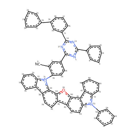 N#Cc1cc(-c2nc(-c3ccccc3)nc(-c3cccc(-c4ccccc4)c3)n2)ccc1-n1c2ccccc2c2ccc3c4ccc5c(c6ccccc6n5-c5ccccc5)c4oc3c21